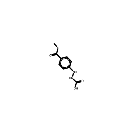 COC(=O)c1ccc(NNC(=O)O)cc1